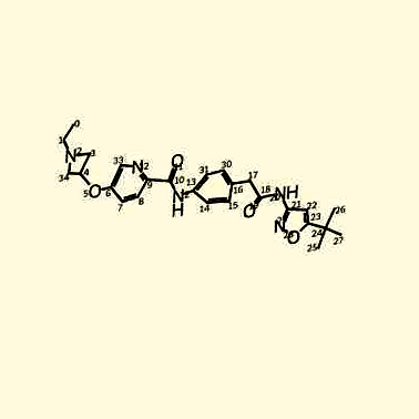 CCN1CC(Oc2ccc(C(=O)Nc3ccc(CC(=O)Nc4cc(C(C)(C)C)on4)cc3)nc2)C1